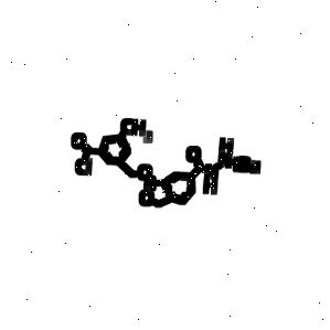 Cc1cc(COB2OCc3ccc(C(=O)NNC(C)(C)C)cc32)cc(C(=O)Cl)c1